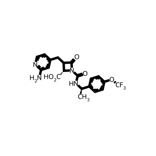 C[C@@H](NC(=O)N1C(=O)C(Cc2ccnc(N)c2)[C@H]1C(=O)O)c1ccc(OC(F)(F)F)cc1